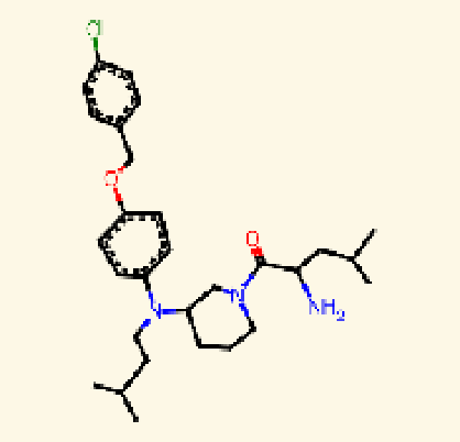 CC(C)CCN(c1ccc(OCc2ccc(Cl)cc2)cc1)C1CCCN(C(=O)C(N)CC(C)C)C1